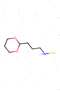 SNCCCC1OCCCO1